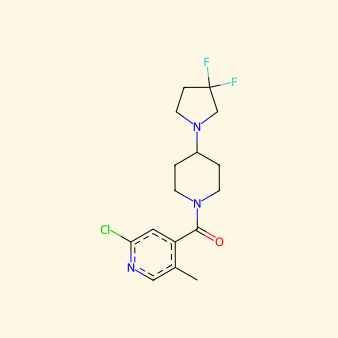 Cc1cnc(Cl)cc1C(=O)N1CCC(N2CCC(F)(F)C2)CC1